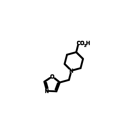 O=C(O)C1CCN(Cc2cnco2)CC1